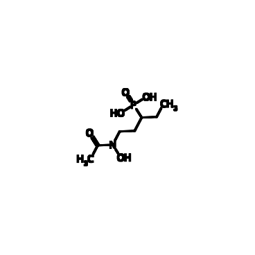 CCC(CCN(O)C(C)=O)P(=O)(O)O